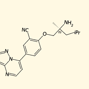 CC(C)C[C@](C)(N)COc1ccc(-c2ccnc3ccnn23)cc1C#N